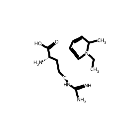 CCN1C=CC=CC1C.N=C(N)NCCC[C@H](N)C(=O)O